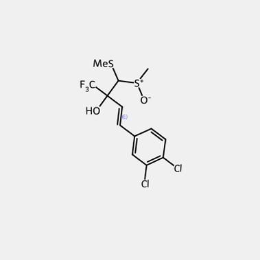 CSC([S+](C)[O-])C(O)(/C=C/c1ccc(Cl)c(Cl)c1)C(F)(F)F